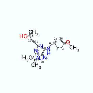 COc1ccc(CNc2nc(C#CC(C)O)nc3c2ncn3C(C)C)cc1